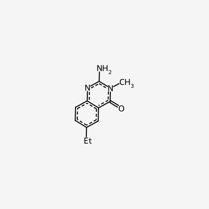 CCc1ccc2nc(N)n(C)c(=O)c2c1